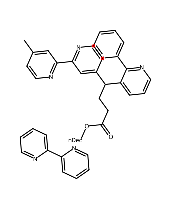 CCCCCCCCCCOC(=O)CCC(c1ccnc(-c2cc(C)ccn2)c1)c1cccnc1-c1ccccn1.c1ccc(-c2ccccn2)nc1